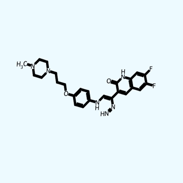 CN1CCN(CCCOc2ccc(N/C=C(\N=N)c3cc4cc(F)c(F)cc4[nH]c3=O)cc2)CC1